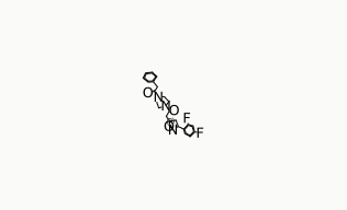 O=C(Cc1ccccc1)N1CCN(C(=O)C[C@H]2CC(c3ccc(F)cc3F)=NO2)CC1